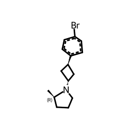 C[C@@H]1CCCN1[C@H]1C[C@H](c2ccc(Br)cc2)C1